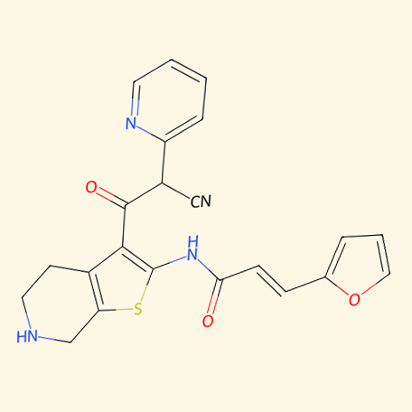 N#CC(C(=O)c1c(NC(=O)/C=C/c2ccco2)sc2c1CCNC2)c1ccccn1